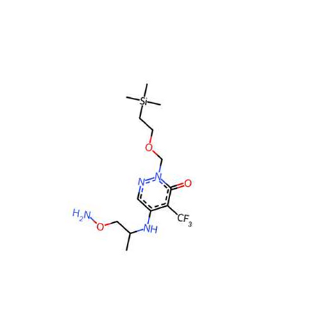 CC(CON)Nc1cnn(COCC[Si](C)(C)C)c(=O)c1C(F)(F)F